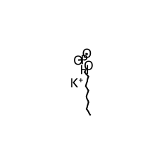 CCCCCCCCO[PH](=O)[O-].[K+]